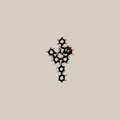 c1ccc(-c2ccc(-n3c4ccc5c6ccccc6oc5c4c4c3ccc3c5ccccc5n(-c5nc(-c6ccccc6)c6ccccc6n5)c34)cc2)cc1